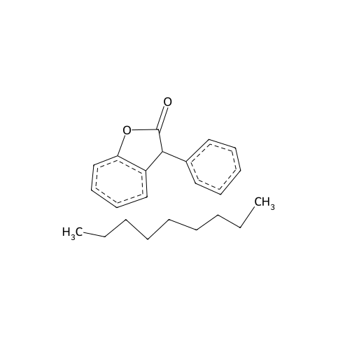 CCCCCCCCC.O=C1Oc2ccccc2C1c1ccccc1